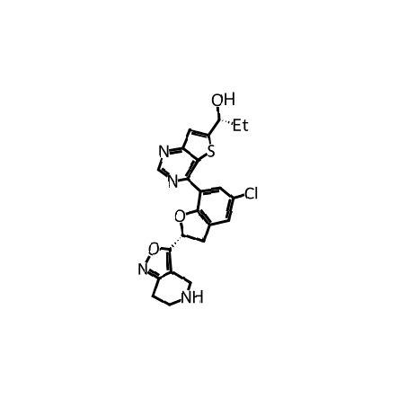 CC[C@@H](O)c1cc2ncnc(-c3cc(Cl)cc4c3O[C@@H](c3onc5c3CNCC5)C4)c2s1